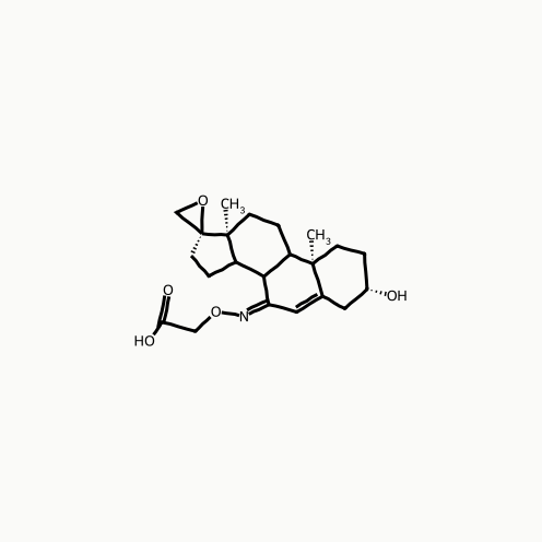 C[C@]12CC[C@H](O)CC1=C/C(=N/OCC(=O)O)C1C2CC[C@@]2(C)C1CC[C@@]21CO1